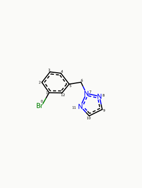 Brc1cccc(Cn2nccn2)c1